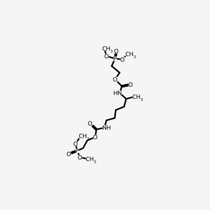 COP(=O)(CCOC(=O)NCCCCC(C)NC(=O)OCCP(=O)(OC)OC)OC